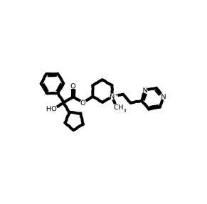 C[N+]1(CCc2ccncn2)CCCC(OC(=O)C(O)(c2ccccc2)C2CCCC2)C1